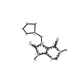 Cn1cnc2c(c1=O)n(CN1CCCC1)c(=O)n2C